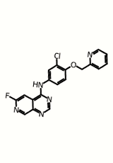 Fc1cc2c(Nc3ccc(OCc4ccccn4)c(Cl)c3)ncnc2cn1